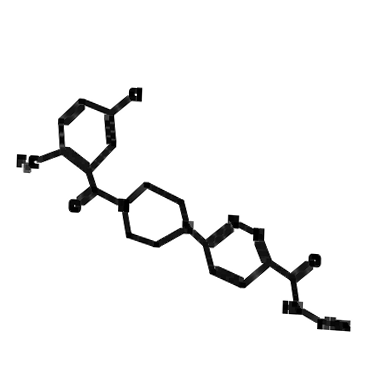 CCCCCCNC(=O)c1ccc(N2CCN(C(=O)c3cc(Cl)ccc3C(F)(F)F)CC2)nn1